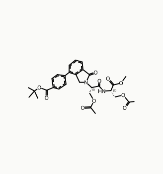 COC(=O)[C@H](COC(C)=O)NC(=O)[C@H](COC(C)=O)N1Cc2c(cccc2-c2ccc(C(=O)OC(C)(C)C)cc2)C1=O